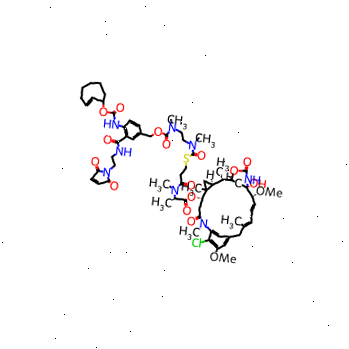 COc1cc2cc(c1Cl)N(C)C(=O)C[C@H](OC(=O)[C@H](C)N(C)C(=O)CCSC(=O)N(C)CCN(C)C(=O)OCc1ccc(NC(=O)OC3/C=C/CCCCC3)c(C(=O)NCCN3C(=O)C=CC3=O)c1)C1(C)C[C@H]1[C@H](C)[C@@H]1C[C@@](O)(NC(=O)O1)[C@H](OC)/C=C/C=C(\C)C2